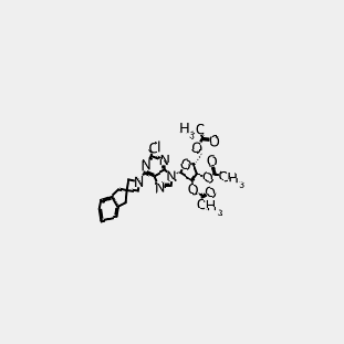 CC(=O)OC[C@H]1O[C@@H](n2cnc3c(N4CC5(Cc6ccccc6C5)C4)nc(Cl)nc32)[C@H](OC(C)=O)[C@@H]1OC(C)=O